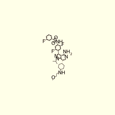 COCCN[C@H]1CC[C@H](c2cnc(N)c3c(-c4cc(F)c(NS(=O)(=O)c5cccc(F)c5)cc4F)nn(C(C)C)c32)CC1